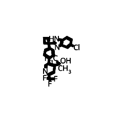 CC(C)(O)c1cc(C(F)(F)F)ncc1-c1ccc(C2(c3nc4cc(Cl)ccc4[nH]3)CCC2)cc1